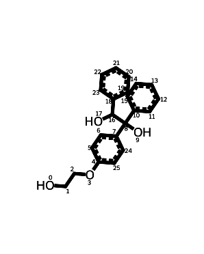 OCCOc1ccc(C(O)(c2ccccc2)C(O)c2ccccc2)cc1